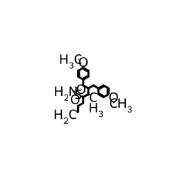 C=CCCC(C(C)C(Cc1ccc(OC)cc1)Cc1ccc(OC)cc1)S(N)(=O)=O